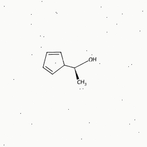 C[C@H](O)C1C=CC=C1